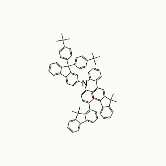 CC(C)(C)c1ccc(C2(c3ccc(C(C)(C)C)cc3)c3ccccc3-c3ccc(N(c4ccc(-c5cccc6c5C(C)(C)c5ccccc5-6)cc4)c4ccccc4-c4ccc5c(c4)C(C)(C)c4ccccc4-5)cc32)cc1